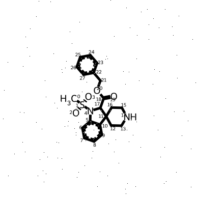 CS(=O)(=O)N1c2ccccc2C2(CCNCC2)C1C(=O)OCc1ccccc1